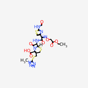 CCOC(=O)CO/N=C(\C(=O)NC1C(=O)N2C(C(=O)O)=C(CSc3nnnn3C)CS[C@H]12)c1csc(NC=O)n1